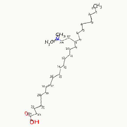 CCCCCCCCC(CCCCCCCCC=CCCCCCC(=O)O)CCN(C)C